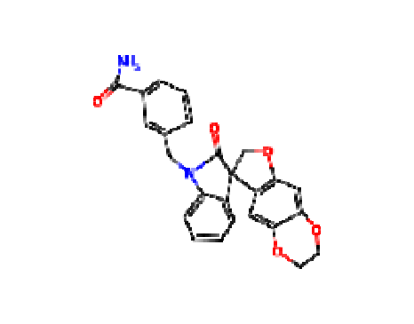 NC(=O)c1cccc(CN2C(=O)C3(COc4cc5c(cc43)OCCO5)c3ccccc32)c1